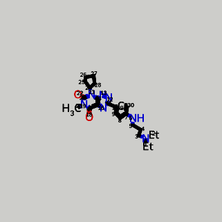 CCN(CC)CCCNc1ccc(-c2nnc3c(n2)c(=O)n(C)c(=O)n3C2CCCC2)cc1